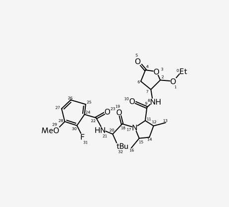 CCOC1OC(=O)CC1NC(=O)C1C(C)CC(C)N1C(=O)C(NC(=O)c1cccc(OC)c1F)C(C)(C)C